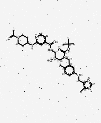 CC(=O)N1CCC(Nc2cc(C(=O)NC[C@@H](O)[C@@H]3Cc4ccc(OCc5ocnc5C)cc4CN3C(=O)OC(C)(C)C)ccn2)CC1